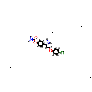 CN(C)C(=O)Oc1ccc(C(CCOc2ccc(Cl)cc2)N(C)C)cc1